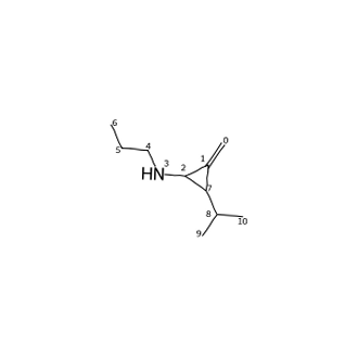 C=C1C(NCCC)C1C(C)C